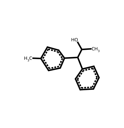 Cc1ccc(C(c2ccccc2)C(C)O)cc1